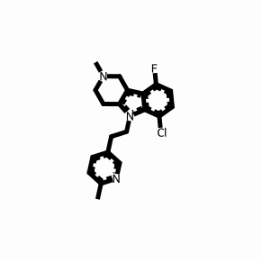 Cc1ccc(CCn2c3c(c4c(F)ccc(Cl)c42)CN(C)CC3)cn1